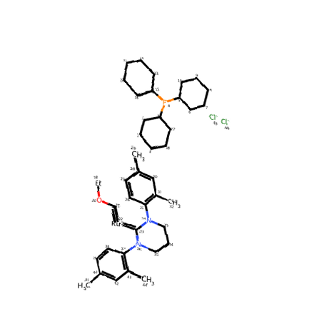 C1CCC(P(C2CCCCC2)C2CCCCC2)CC1.CCO[CH]=[Ru+2]=[C]1N(c2ccc(C)cc2C)CCCN1c1ccc(C)cc1C.[Cl-].[Cl-]